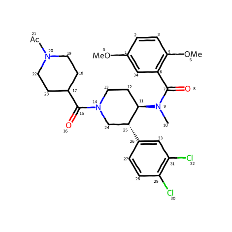 COc1ccc(OC)c(C(=O)N(C)[C@@H]2CCN(C(=O)C3CCN(C(C)=O)CC3)C[C@H]2c2ccc(Cl)c(Cl)c2)c1